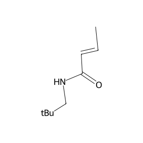 C/C=C/C(=O)NCC(C)(C)C